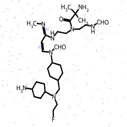 C/N=C(\C=C/N(C=O)C1CCC(CN(CCF)C2CCC(N)CC2)CC1)NCCN(CCNC=O)C(=O)C(C)(C)N